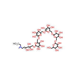 CN(CC[C@@H](O)[C@H](O)C(O)COC1OC(CO[C@@H]2O[C@H](CO[C@@H]3OC(CO[C@@H]4OC(COC5OC(CO)[C@@H](O)C(O)[C@H]5O)C(O)[C@H](O)C4O)[C@@H](O)C(O)[C@H]3O)C(O)[C@H](O)C2O)[C@@H](O)C(O)[C@H]1O)CC(=O)O